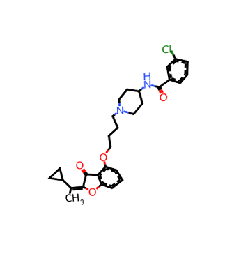 C/C(=C1\Oc2cccc(OCCCCN3CCC(NC(=O)c4cccc(Cl)c4)CC3)c2C1=O)C1CC1